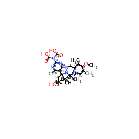 COc1c(C)cnc(CN2c3nc(N(C(=O)O)C(=O)O)nc(Cl)c3C(CCO)(C(C)(C)C)N2C(C)(C)C)c1C